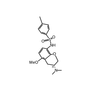 COc1ccc(NS(=O)(=O)c2ccc(C)cc2)c2c1C[C@@H](N(C)C)CO2